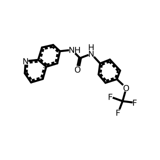 O=C(Nc1ccc(OC(F)(F)F)cc1)Nc1ccc2ncccc2c1